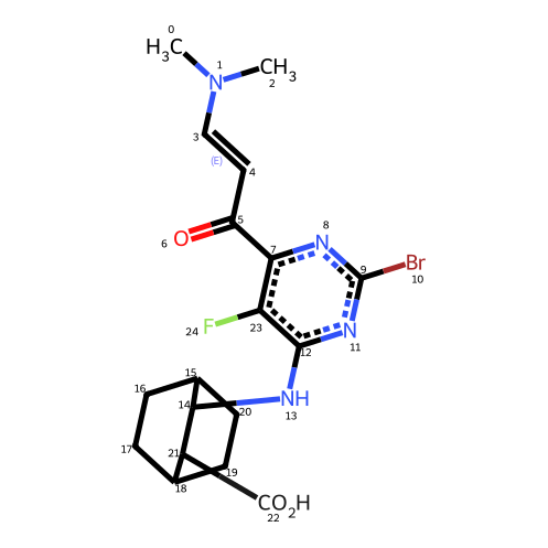 CN(C)/C=C/C(=O)c1nc(Br)nc(NC2C3CCC(CC3)C2C(=O)O)c1F